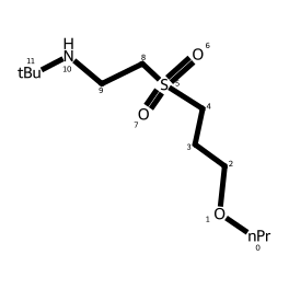 CCCOCCCS(=O)(=O)CCNC(C)(C)C